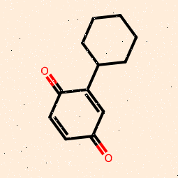 O=C1C=CC(=O)C(C2CCCCC2)=C1